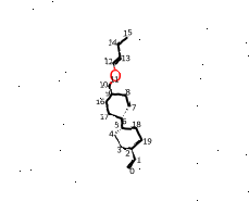 C=C[C@H]1CC[C@H]([C@H]2CC[C@H](COC=CCC)CC2)CC1